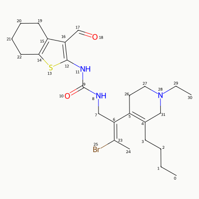 CCCCC1=C(/C(CNC(=O)Nc2sc3c(c2C=O)CCCC3)=C(\C)Br)CCN(CC)C1